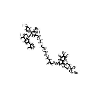 Cc1ncsc1-c1ccc(C(C)NC(=O)[C@@H]2C[C@@H](O)CN2C(=O)C(NC(=O)COCCOCCOCCOCCN(C)CCOc2nc(N3CCN(C(=O)OC(C)(C)C)CC3)c3cc(Cl)c(Br)c(F)c3n2)C(C)(C)C)cc1